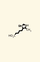 CC1NC[NH+]([O-])C1CCCCC(=O)O